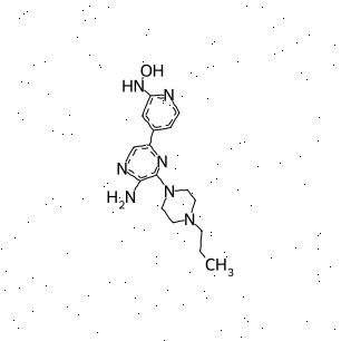 CCCN1CCN(c2nc(-c3ccnc(NO)c3)cnc2N)CC1